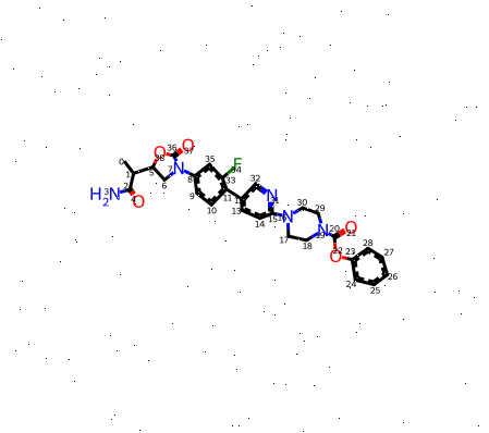 CC(C(N)=O)C1CN(c2ccc(-c3ccc(N4CCN(C(=O)Oc5ccccc5)CC4)nc3)c(F)c2)C(=O)O1